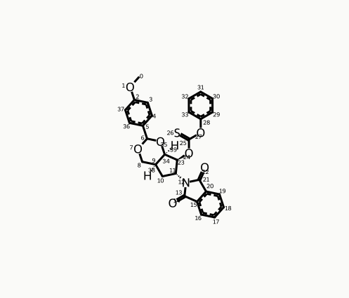 COc1ccc(C2OC[C@@H]3C[C@@H](N4C(=O)c5ccccc5C4=O)[C@H](OC(=S)Oc4ccccc4)[C@@H]3O2)cc1